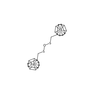 C(SOSC[C]12[CH]3[CH]4[CH]5[CH]1[Fe]45321678[CH]2[CH]1[CH]6[CH]7[CH]28)[C]12[CH]3[CH]4[CH]5[CH]1[Fe]45321678[CH]2[CH]1[CH]6[CH]7[CH]28